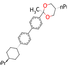 CCC[C@H]1CC[C@H](c2ccc(-c3ccc([C@]4(C)OC[C@@H](CCC)CO4)cc3)cc2)CC1